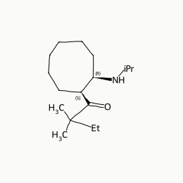 CCC(C)(C)C(=O)[C@H]1CCCCCC[C@H]1NC(C)C